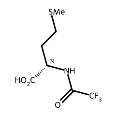 CSCC[C@H](NC(=O)C(F)(F)F)C(=O)O